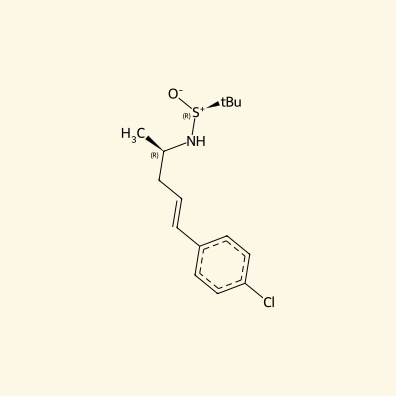 C[C@H](CC=Cc1ccc(Cl)cc1)N[S@@+]([O-])C(C)(C)C